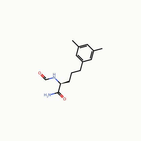 Cc1cc(C)cc(CCC[C@H](NC=O)C(N)=O)c1